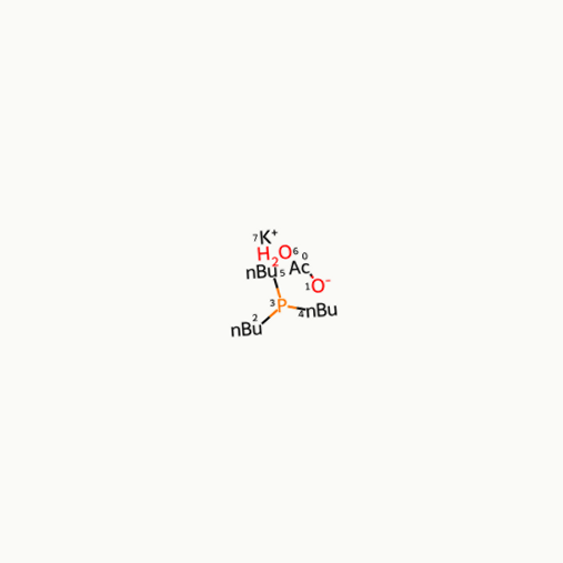 CC(=O)[O-].CCCCP(CCCC)CCCC.O.[K+]